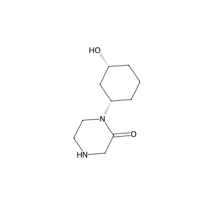 O=C1CNCCN1[C@H]1CCC[C@@H](O)C1